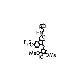 COc1cc(/C=C2/C(C)=C(CC(=O)NCc3ncco3)c3cc(OC(F)(F)F)ccc32)cc(OC)c1O